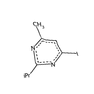 Cc1cc(I)nc(C(C)C)n1